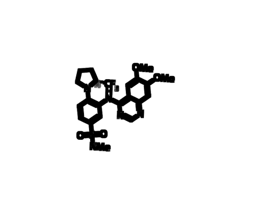 CNS(=O)(=O)c1ccc(N2CCC[C@@H]2C(F)(F)F)c(Nc2ncnc3cc(OC)c(OC)cc23)c1